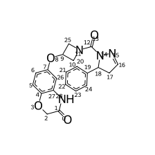 O=C1COc2ccc(OC3CN(C(=O)N4N=CCC4c4ccccc4)C3)cc2N1